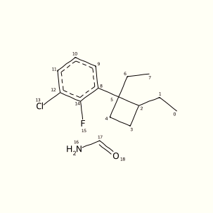 CCC1CCC1(CC)c1cccc(Cl)c1F.NC=O